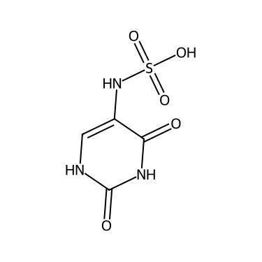 O=c1[nH]cc(NS(=O)(=O)O)c(=O)[nH]1